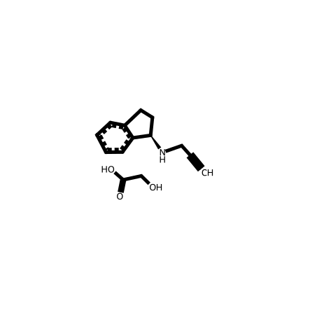 C#CCN[C@@H]1CCc2ccccc21.O=C(O)CO